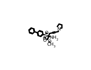 COC(=O)C(N)(CC#CCN1CCCC1)S(=O)(=O)c1ccc(-c2ccccc2)cc1